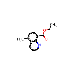 CCOC(=O)c1ccc(C)c2cccnc12